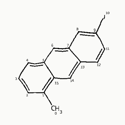 Cc1cccc2cc3cc(I)ccc3cc12